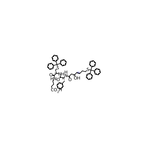 O=C(O)CCCNC(=O)[C@@H](CSC(c1ccccc1)(c1ccccc1)c1ccccc1)NC(=O)[C@@H](Cc1ccccc1)NC(=O)C[C@H](O)/C=C/CCSC(c1ccccc1)(c1ccccc1)c1ccccc1